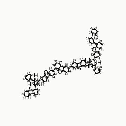 c1ccc(C2NC(c3ccc4c(c3)oc3c(-c5cccc6c5oc5ccccc56)cccc34)NC(c3ccc4c(c3)sc3cc(-c5ccc6oc7c(-c8ccc9c(c8)oc8cc(C%10NC(c%11ccccc%11)NC(c%11cccc%12c%11sc%11ccccc%11%12)N%10)ccc89)cccc7c6c5)ccc34)N2)cc1